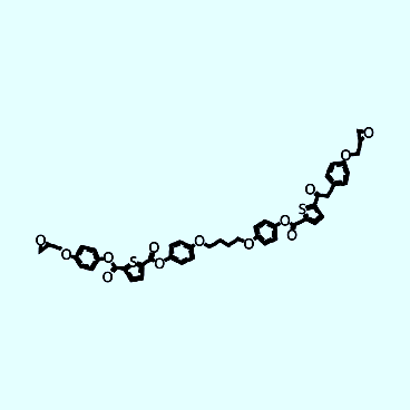 O=C(Cc1ccc(OCC2CO2)cc1)c1ccc(C(=O)Oc2ccc(OCCCCOc3ccc(OC(=O)c4ccc(C(=O)Oc5ccc(OCC6CO6)cc5)s4)cc3)cc2)s1